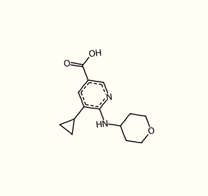 O=C(O)c1cnc(NC2CCOCC2)c(C2CC2)c1